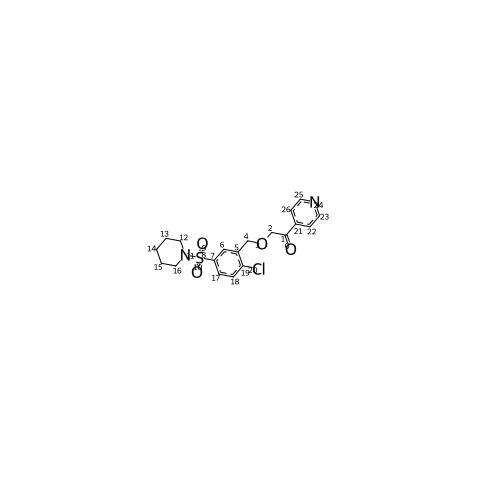 O=C(COCc1cc(S(=O)(=O)N2CCCCC2)ccc1Cl)c1ccncc1